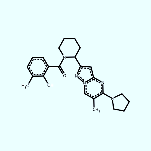 Cc1cn2nc(C3CCCCN3C(=O)c3cccc(C)c3O)cc2nc1N1CCCC1